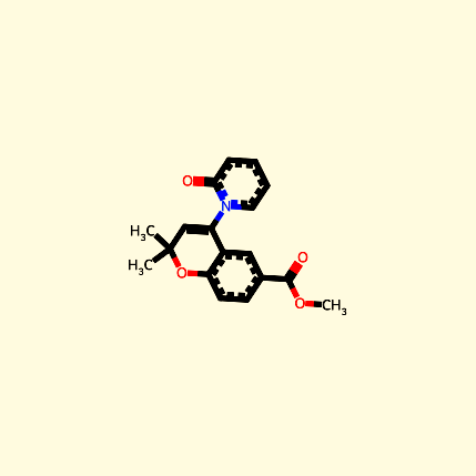 COC(=O)c1ccc2c(c1)C(n1ccccc1=O)=CC(C)(C)O2